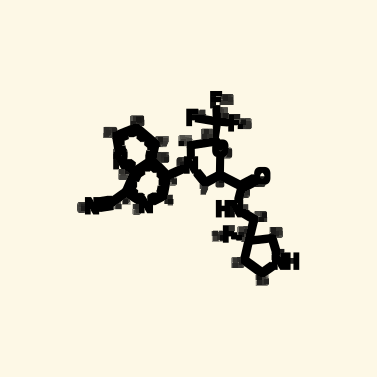 N#Cc1ncc(N2CC(C(=O)NC[C@]3(F)CCNC3)O[C@H](C(F)(F)F)C2)c2cccnc12